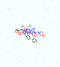 CC(C)C[C@H](NC(=O)[C@H](Cc1ccccc1)NC(=O)[C@H](CC(C)C)N(C)C(=O)[C@H](CCc1ccccc1)NC(=O)CN1CCOCC1)C(=O)[C@]1(C)CO1